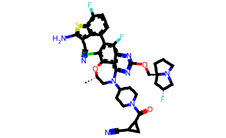 C[C@H]1CN(C2CCN(C(=O)C3CC3C#N)CC2)c2nc(OC[C@@]34CCCN3C[C@H](F)C4)nc3c(F)c(-c4ccc(F)c5sc(N)c(C#N)c45)c(Cl)c(c23)O1